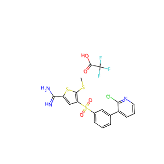 CSc1sc(C(=N)N)cc1S(=O)(=O)c1cccc(-c2cccnc2Cl)c1.O=C(O)C(F)(F)F